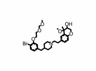 COCOCCOc1cc(CC2CCN(CCc3ccc4c(c3)C(C)(OC)C(O)CO4)CC2)ccc1Br